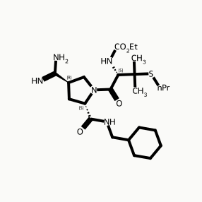 CCCSC(C)(C)[C@@H](NC(=O)OCC)C(=O)N1C[C@H](C(=N)N)C[C@H]1C(=O)NCC1CCCCC1